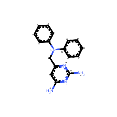 Nc1cc(CN(c2ccccc2)c2ccccc2)nc(N)n1